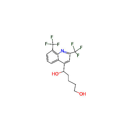 OCCCCC(O)c1cc(C(F)(F)F)nc2c(C(F)(F)F)cccc12